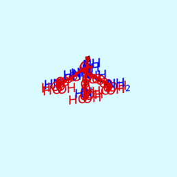 CC(=O)N[C@H]1[C@H](OCCOCCOCCOCC(=O)NCCCCC(NC(=O)C(CCCCNC(=O)COCCOCCOCCO[C@@H]2O[C@H](CO)[C@H](O)[C@H](O)[C@H]2N)NC(=O)COCCOCCOCCO[C@@H]2O[C@H](CO)[C@H](O)[C@H](O)[C@H]2NC(C)=O)C(=O)NC(C(=O)NCC2CC3CCC32)C2CCC2)O[C@H](CO)[C@H](O)[C@@H]1O